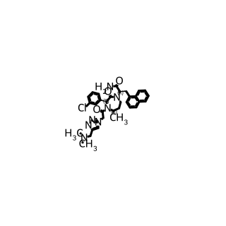 C[C@@H]1CCN([C@H](Cc2cccc3ccccc23)C(N)=O)C(=O)[C@H](c2cccc(Cl)c2)N1C(=O)Cn1cc(CN(C)C)nn1